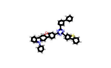 c1ccc(-c2cccc(-c3nc(-c4ccc5c(c4)oc4cc6c7ccccc7n(-c7ccccc7)c6cc45)nc(-c4ccc5c(c4)sc4ccccc45)n3)c2)cc1